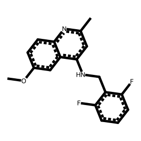 COc1ccc2nc(C)cc(NCc3c(F)cccc3F)c2c1